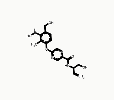 C=CC(CO)NC(=O)c1cnc(Oc2ccc(CO)c(BO)c2C)cn1